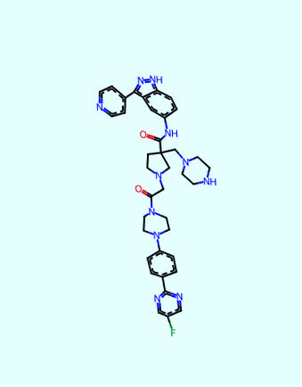 O=C(CN1CCC(CN2CCNCC2)(C(=O)Nc2ccc3[nH]nc(-c4ccncc4)c3c2)C1)N1CCN(c2ccc(-c3ncc(F)cn3)cc2)CC1